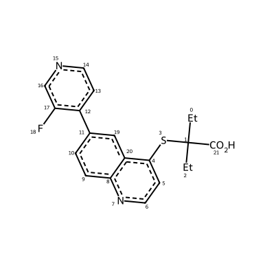 CCC(CC)(Sc1ccnc2ccc(-c3ccncc3F)cc12)C(=O)O